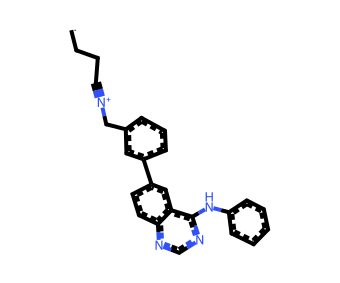 [CH2]CCC#[N+]Cc1cccc(-c2ccc3ncnc(Nc4ccccc4)c3c2)c1